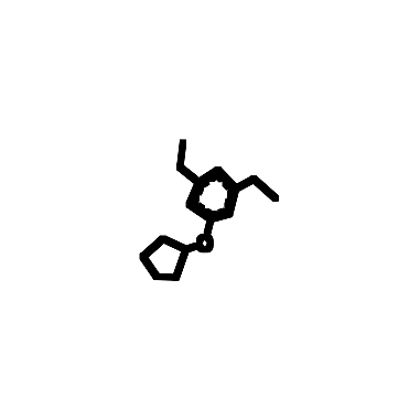 CCc1cc(CC)cc(OC2CCCC2)c1